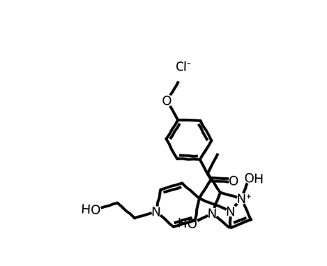 CCC1N(O)C2=C[N+]1(O)N2C1(C(=O)c2ccc(OC)cc2)C=CN(CCO)C=C1.[Cl-]